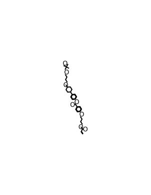 C=CC(=O)OCCCCOc1ccc(C(=O)Oc2ccc(C3CCC(OCCCCOCC4(C)COC4)CC3)cc2)cc1